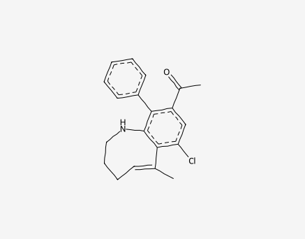 CC(=O)c1cc(Cl)c2c(c1-c1ccccc1)NCCC/C=C/2C